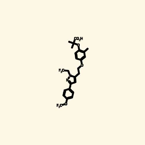 Cc1cc(OCCc2cc(-c3ccc(OC(F)(F)F)cc3)nn2CC(F)(F)F)ccc1OC(C)(C)C(=O)O